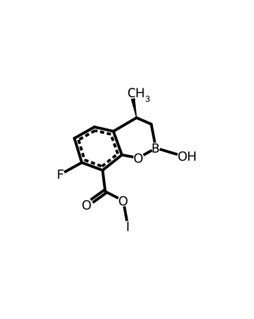 C[C@H]1CB(O)Oc2c1ccc(F)c2C(=O)OI